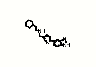 c1nc2cc(-c3ccc(CNCCC4CCCCC4)cn3)ccc2[nH]1